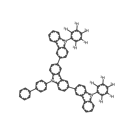 [2H]c1c([2H])c([2H])c(-n2c3ccccc3c3cc(-c4ccc5c(c4)c4cc(-c6ccc7c(c6)c6ccccc6n7-c6c([2H])c([2H])c([2H])c([2H])c6[2H])ccc4n5-c4ccc(-c5ccccc5)cc4)ccc32)c([2H])c1[2H]